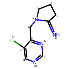 N=C1CCCN1Cc1ncncc1Cl